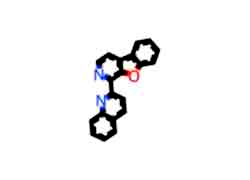 c1ccc2nc(-c3nccc4c3oc3ccccc34)ccc2c1